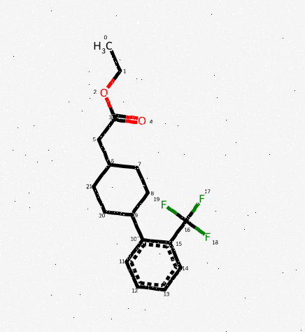 CCOC(=O)CC1CCC(c2ccccc2C(F)(F)F)CC1